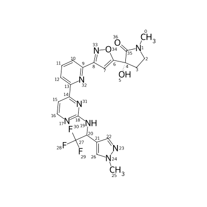 CN1CC[C@@](O)(c2cc(-c3cccc(-c4ccnc(NC(c5cnn(C)c5)C(F)(F)F)n4)n3)no2)C1=O